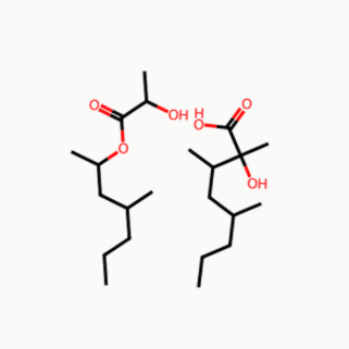 CCCC(C)CC(C)C(C)(O)C(=O)O.CCCC(C)CC(C)OC(=O)C(C)O